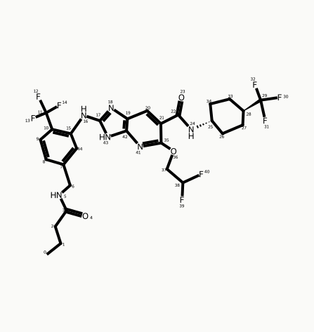 CCCC(=O)NCc1ccc(C(F)(F)F)c(Nc2nc3cc(C(=O)N[C@H]4CC[C@H](C(F)(F)F)CC4)c(OCC(F)F)nc3[nH]2)c1